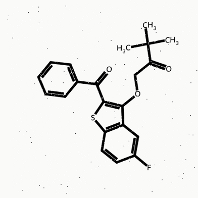 CC(C)(C)C(=O)COc1c(C(=O)c2ccccc2)sc2ccc(F)cc12